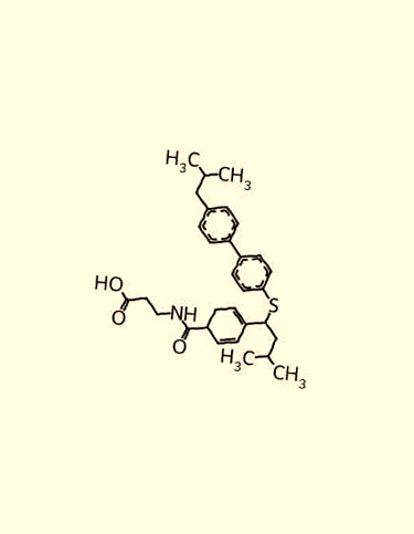 CC(C)Cc1ccc(-c2ccc(SC(CC(C)C)C3=CCC(C(=O)NCCC(=O)O)C=C3)cc2)cc1